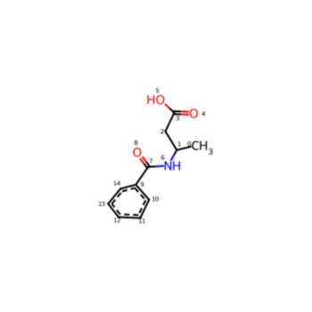 CC(CC(=O)O)NC(=O)c1ccccc1